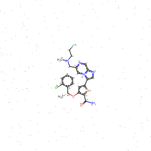 C[C@@H](Oc1cc(-c2cnc3cnc(CN(C)CCF)cn23)sc1C(N)=O)c1ccccc1Cl